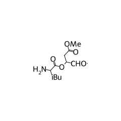 CCC(C)C(N)C(=O)OC([C]=O)CC(=O)OC